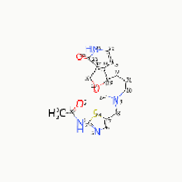 CC(=O)Nc1ncc(CN2CCCC3(C2)OCc2c3cc[nH]c2=O)s1